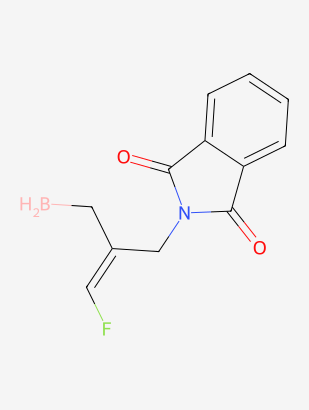 BC/C(=C/F)CN1C(=O)c2ccccc2C1=O